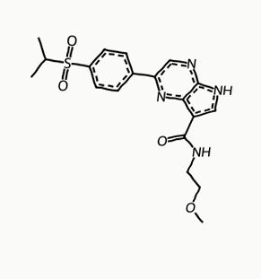 COCCNC(=O)c1c[nH]c2ncc(-c3ccc(S(=O)(=O)C(C)C)cc3)nc12